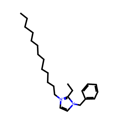 CCCCCCCCCCCCC[n+]1ccn(Cc2ccccc2)c1CC